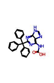 O=C(O)Nc1nc(C(c2ccccc2)(c2ccccc2)c2ccccc2)nc2[nH]cnc12